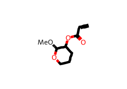 C=CC(=O)OC1CCCOC1OC